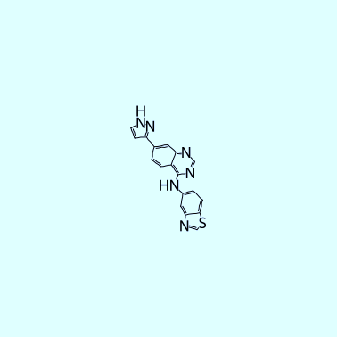 c1nc(Nc2ccc3scnc3c2)c2ccc(-c3cc[nH]n3)cc2n1